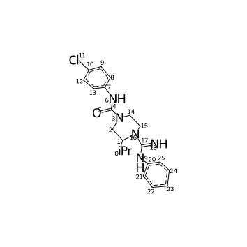 CC(C)C1CN(C(=O)Nc2ccc(Cl)cc2)CCN1C(=N)Nc1ccccc1